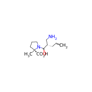 C=CC[C@@H](CN)C(=O)N1CCC[C@]1(C)C(=O)O